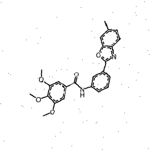 COc1cc(C(=O)Nc2cccc(-c3nc4ccc(C)cc4o3)c2)cc(OC)c1OC